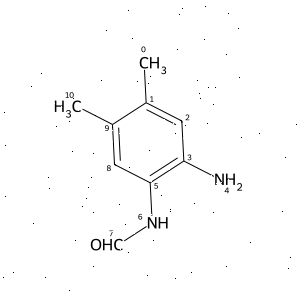 Cc1cc(N)c(NC=O)cc1C